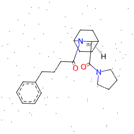 O=C([C@@H]1C2CCC(CC2)N1C(=O)CCCc1ccccc1)N1CCCC1